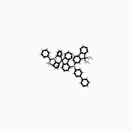 CC1(C)c2ccccc2-c2ccc(N(c3ccc(-c4ccccc4)cc3)c3cccc4c3-c3ccccc3C43c4ccccc4N4c5c(cccc53)NC4c3ccccc3)cc21